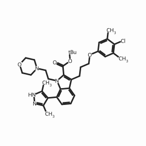 Cc1cc(OCCCc2c(C(=O)OC(C)(C)C)n(CCN3CCOCC3)c3c(-c4c(C)n[nH]c4C)cccc23)cc(C)c1Cl